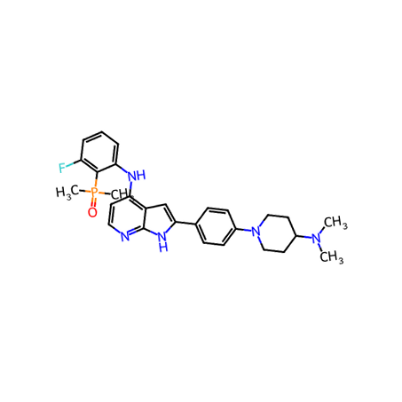 CN(C)C1CCN(c2ccc(-c3cc4c(Nc5cccc(F)c5P(C)(C)=O)ccnc4[nH]3)cc2)CC1